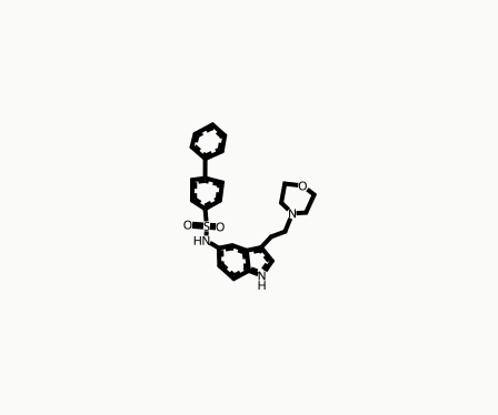 O=S(=O)(Nc1ccc2[nH]cc(CCN3CCOCC3)c2c1)c1ccc(-c2ccccc2)cc1